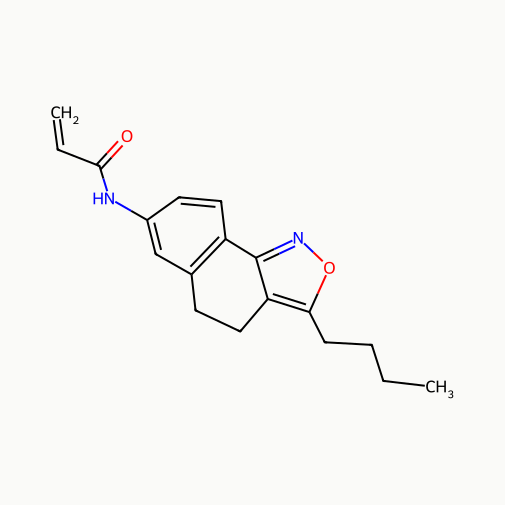 C=CC(=O)Nc1ccc2c(c1)CCc1c-2noc1CCCC